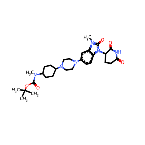 CN(C(=O)OC(C)(C)C)C1CCC(N2CCN(c3ccc4c(c3)n(C)c(=O)n4C3CCC(=O)NC3=O)CC2)CC1